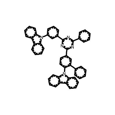 c1ccc(-c2nc(-c3cccc(-n4c5ccccc5c5ccccc54)c3)nc(-c3ccc(-n4c5ccccc5c5ccccc54)c(-c4ccccc4)c3)n2)cc1